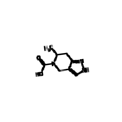 CC1Cc2n[nH]cc2CN1C(=O)O